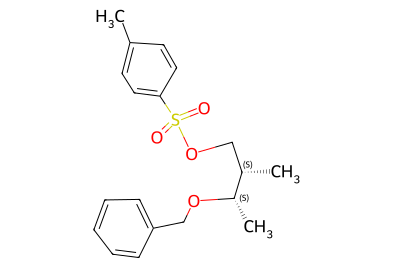 Cc1ccc(S(=O)(=O)OC[C@H](C)[C@H](C)OCc2ccccc2)cc1